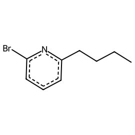 CCCCc1cccc(Br)n1